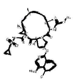 COc1cnc(O[C@@H]2C[C@H]3C(=O)N[C@]4(C(=O)NS(=O)(=O)C5CC5)C[C@H]4/C=C\[C@@H](C)CCC[C@@H](C)[C@H](NC(=O)OC(C)(C)C)C(=O)N3C2)c2cccc(Cl)c12